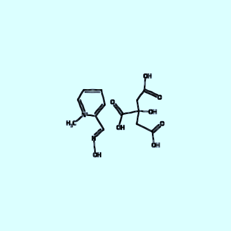 C[n+]1ccccc1C=NO.O=C(O)CC(O)(CC(=O)O)C(=O)O